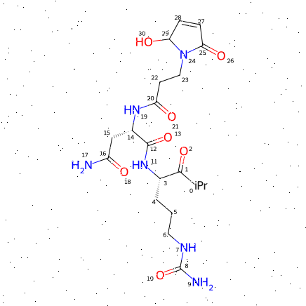 CC(C)C(=O)[C@H](CCCNC(N)=O)NC(=O)[C@H](CC(N)=O)NC(=O)CCN1C(=O)C=CC1O